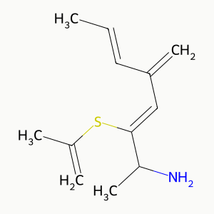 C=C(/C=C(\SC(=C)C)C(C)N)/C=C/C